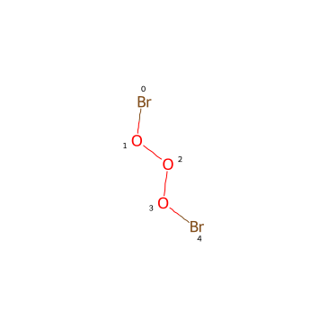 BrOOOBr